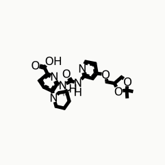 CC1(C)OCC(COc2ccnc(NC(=O)N3c4nc(C(=O)O)ccc4N4CCC[C@H]3C4)c2)O1